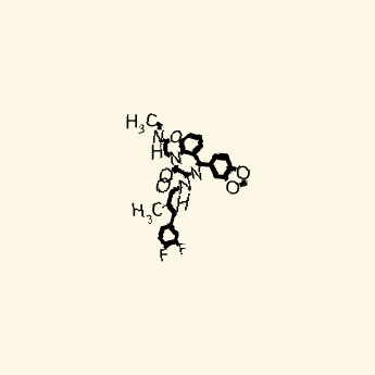 CCNC(=O)CN1C(=O)C(NC(=O)[C@@H](C)Cc2ccc(F)c(F)c2)N=C(c2ccc3c(c2)OCO3)c2ccccc21